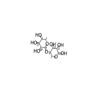 OC1COC(OC2COC(O)C(O)C2O)C(O)C1O